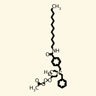 CCCCCCCCCCCCNC(=O)c1ccc(C[N+](CC)(CC(=O)OOOC(C)=O)Cc2ccccc2)cc1